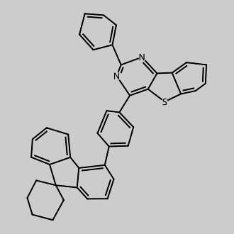 c1ccc(-c2nc(-c3ccc(-c4cccc5c4-c4ccccc4C54CCCCC4)cc3)c3sc4ccccc4c3n2)cc1